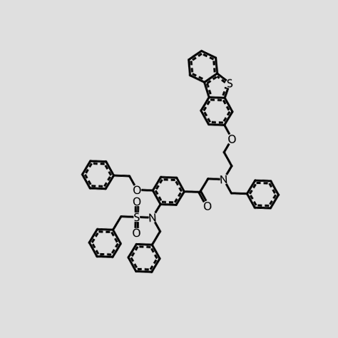 O=C(CN(CCOc1ccc2c(c1)sc1ccccc12)Cc1ccccc1)c1ccc(OCc2ccccc2)c(N(Cc2ccccc2)S(=O)(=O)Cc2ccccc2)c1